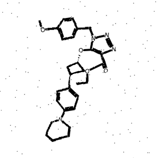 CCOC(=O)c1nnn(Cc2ccc(OC)cc2)c1O[C@H]1C[C@H](c2ccc(N3CCCCC3)cc2)C1